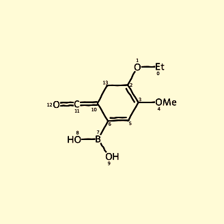 CCOC1=C(OC)C=C(B(O)O)C(=C=O)C1